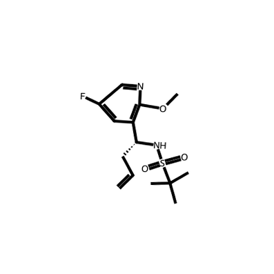 C=CC[C@@H](NS(=O)(=O)C(C)(C)C)c1cc(F)cnc1OC